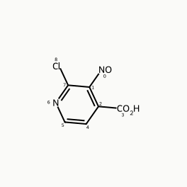 O=Nc1c(C(=O)O)ccnc1Cl